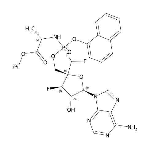 CC(C)OC(=O)[C@H](C)NP(=O)(OC[C@@]1(C(F)F)O[C@@H](n2cnc3c(N)ncnc32)[C@H](O)[C@H]1F)Oc1cccc2ccccc12